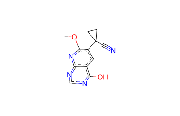 COc1nc2ncnc(O)c2cc1C1(C#N)CC1